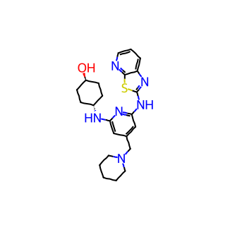 O[C@H]1CC[C@H](Nc2cc(CN3CCCCC3)cc(Nc3nc4cccnc4s3)n2)CC1